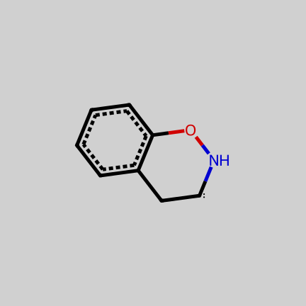 [C]1Cc2ccccc2ON1